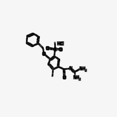 Cc1cc(OCc2ccccc2)c(S(C)(=O)=O)cc1C(=O)N=C(N)N.Cl